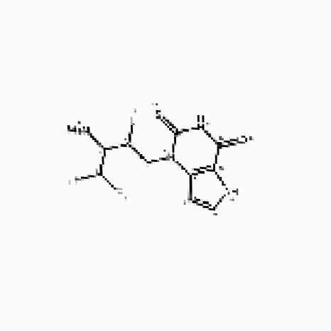 CNC(C(F)F)C(F)Cn1c(=S)[nH]c(=O)c2[nH]ccc21